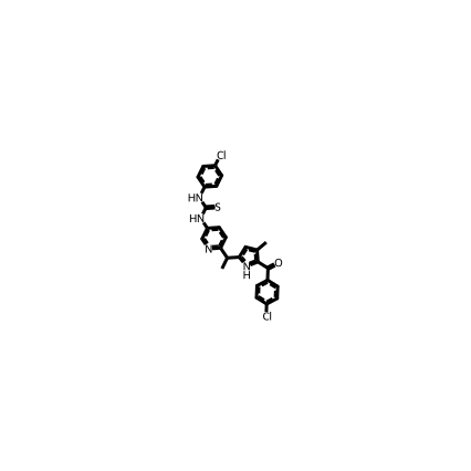 Cc1cc(C(C)c2ccc(NC(=S)Nc3ccc(Cl)cc3)cn2)[nH]c1C(=O)c1ccc(Cl)cc1